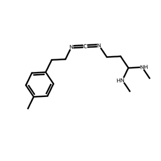 CNC(CCN=C=NCCc1ccc(C)cc1)NC